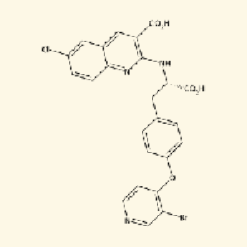 O=C(O)c1cc2cc(Cl)ccc2nc1N[C@@H](Cc1ccc(Oc2ccncc2Br)cc1)C(=O)O